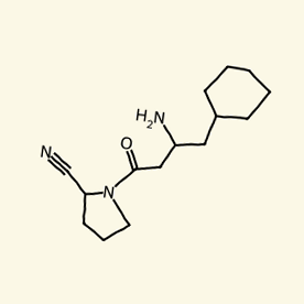 N#CC1CCCN1C(=O)CC(N)CC1CCCCC1